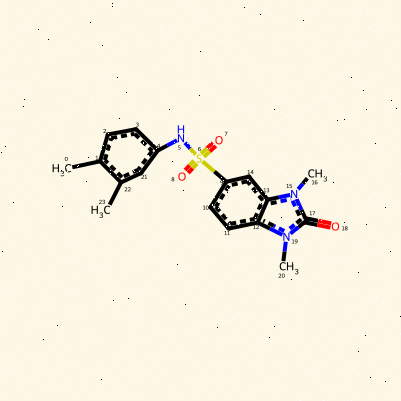 Cc1ccc(NS(=O)(=O)c2ccc3c(c2)n(C)c(=O)n3C)cc1C